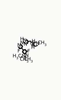 Cc1nc2c(F)cc(-c3cc(Nc4ncc(CN5C[C@H]6CCN(C)C[C@H]65)cn4)ncc3F)cc2n1C(C)C